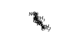 C[C@H](c1cccc(-c2ncc(SCCCN(C)C)cn2)c1)n1nc(-c2cccc(C#N)c2)ccc1=O